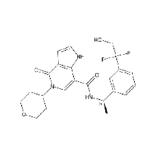 C[C@@H](NC(=O)c1cn(C2CCOCC2)c(=O)c2cc[nH]c12)c1cccc(C(F)(F)CO)c1